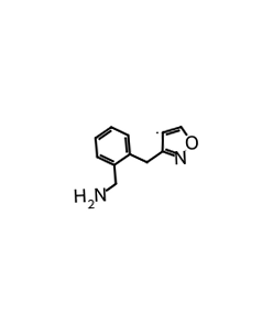 NCc1ccccc1Cc1[c]con1